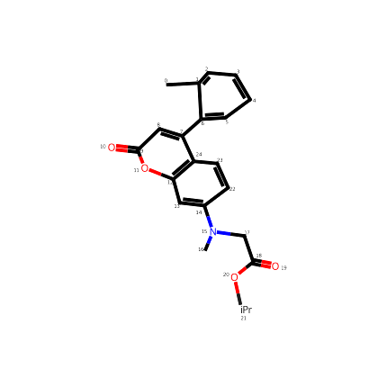 Cc1ccccc1-c1cc(=O)oc2cc(N(C)CC(=O)OC(C)C)ccc12